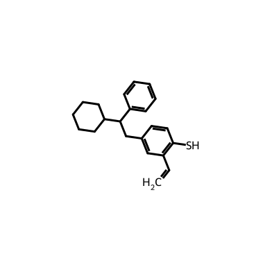 C=Cc1cc(CC(c2ccccc2)C2CCCCC2)ccc1S